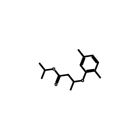 Cc1ccc(C)c(OC(C)CC(=O)OC(C)C)c1